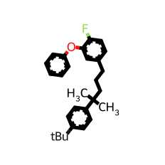 CC(C)(C)c1ccc(C(C)(C)CCCc2ccc(F)c(Oc3ccccc3)c2)cc1